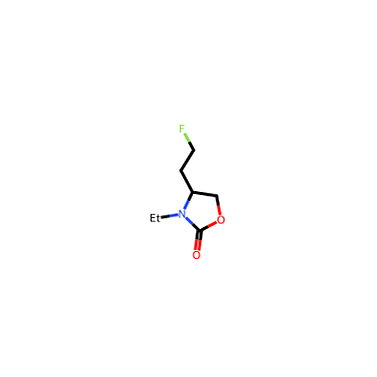 CCN1C(=O)OCC1CCF